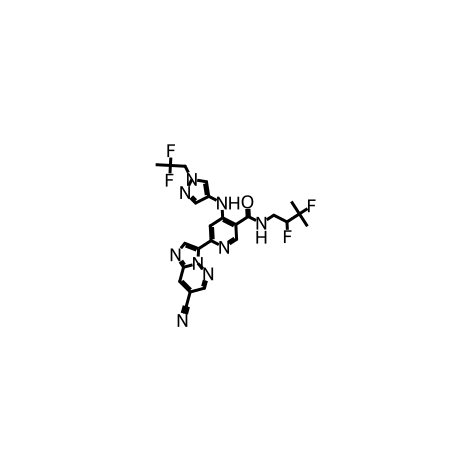 CC(F)(F)Cn1cc(Nc2cc(-c3cnc4cc(C#N)cnn34)ncc2C(=O)NCC(F)C(C)(C)F)cn1